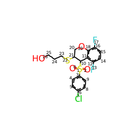 O=S(=O)(c1ccc(Cl)cc1)C1c2c(F)ccc(F)c2OCC1SCCCO